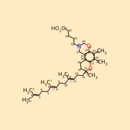 CC(C)=CCC/C(C)=C/CC/C(C)=C/CC[C@]1(C)CCc2c3c(c(C)c(C)c2O1)OCN(CCCCC(=O)O)C3